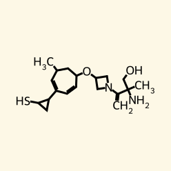 C=C(N1CC(OC2C=CC(C3CC3S)=CC(C)C2)C1)C(C)(N)CO